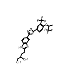 CC(Oc1ccc(-c2nc(-c3ccc4[nH]c(CCC(O)CO)nc4c3)no2)cc1C(F)(F)F)C(F)(F)F